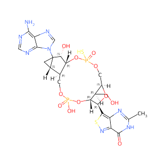 Cc1nc2c([C@@H]3O[C@@H]4COP(=O)(S)O[C@@H]5[C@@H](COP(=O)(O)O[C@@H]3[C@@H]4CO)[C@@H]3CC3(n3cnc4c(N)ncnc43)[C@@H]5O)snc2c(=O)[nH]1